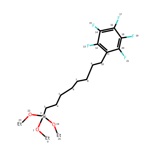 CCO[Si](CCCCCCCCc1c(F)c(F)c(F)c(F)c1F)(OCC)OCC